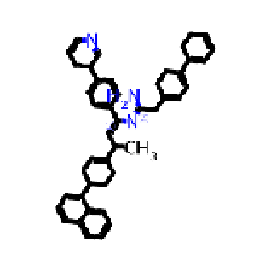 CC(/C=C(\N=C(/N)CC1=CC=C(C2=CC=CCC2)CC1)c1ccc(C2C=NC=CC2)cc1)C1=CCC(c2cccc3ccccc23)CC1